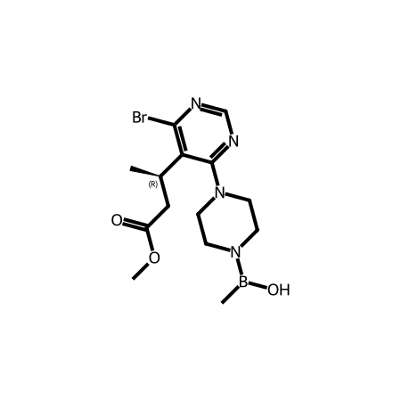 COC(=O)C[C@@H](C)c1c(Br)ncnc1N1CCN(B(C)O)CC1